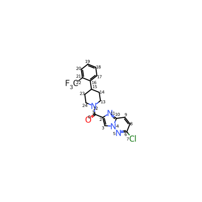 O=C(c1cn2nc(Cl)ccc2n1)N1CCC(c2ccccc2C(F)(F)F)CC1